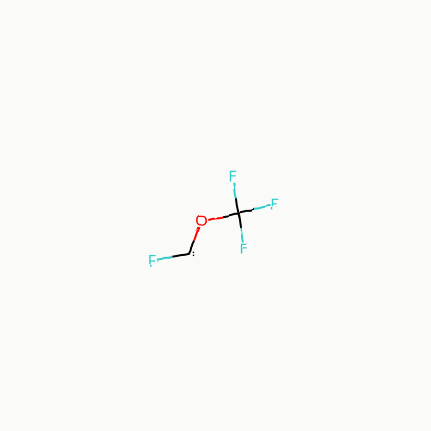 F[C]OC(F)(F)F